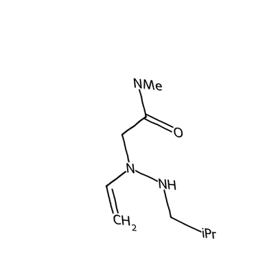 C=CN(CC(=O)NC)NCC(C)C